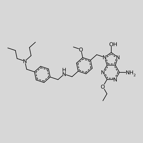 CCCN(CCC)Cc1ccc(CNCc2ccc(Cn3c(O)nc4c(N)nc(OCC)nc43)c(OC)c2)cc1